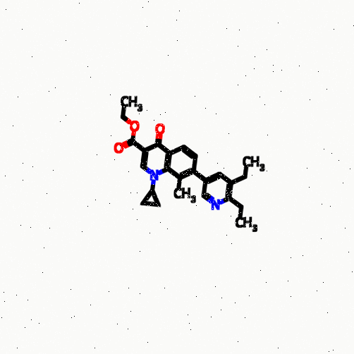 CCOC(=O)c1cn(C2CC2)c2c(C)c(-c3cnc(CC)c(CC)c3)ccc2c1=O